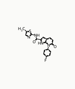 Cc1cnc(NC(=O)c2cc3ccc(=O)n(-c4ccc(F)cc4)c3[nH]2)s1